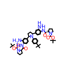 CC(C)(C)OC(=O)N1CCCC1C(=O)Nc1ccc(C2CCC(c3ccc(NC(=O)[C@@H]4CCCN4C(=O)OC(C)(C)C)c(N)c3)N2c2ccc(C(C)(C)C)cc2)cc1N